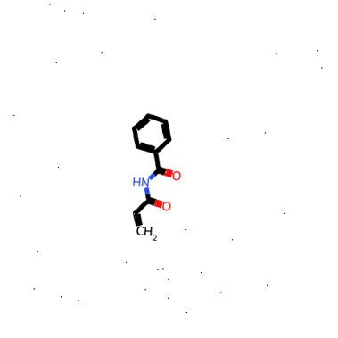 C=CC(=O)NC(=O)c1ccccc1